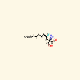 CCCCCCCCCCCCC/C=C(/F)CC(N)(CO)CO